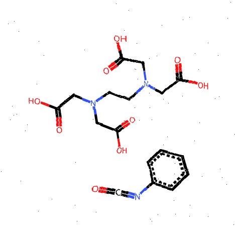 O=C(O)CN(CCN(CC(=O)O)CC(=O)O)CC(=O)O.O=C=Nc1ccccc1